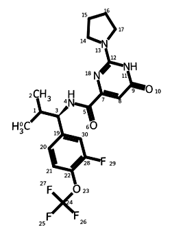 CC(C)[C@@H](NC(=O)c1cc(=O)[nH]c(N2CCCC2)n1)c1ccc(OC(F)(F)F)c(F)c1